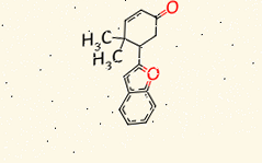 CC1(C)C=CC(=O)CC1c1cc2ccccc2o1